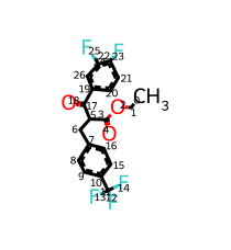 CCOC(=O)C(Cc1ccc(C(F)(F)F)cc1)C(=O)c1ccc(F)c(F)c1